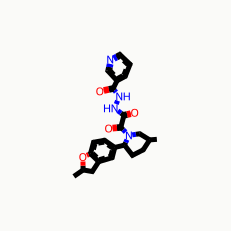 CC1CCC(c2ccc3c(c2)CC(C)O3)N(C(=O)C(=O)NNC(=O)c2cccnc2)C1